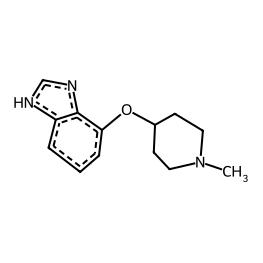 CN1CCC(Oc2cccc3[nH]cnc23)CC1